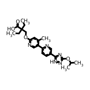 CCC(CC)(COc1cc(C)c(-c2ccc(-c3nc(OC(C)C)n[nH]3)cn2)cn1)C(=O)O